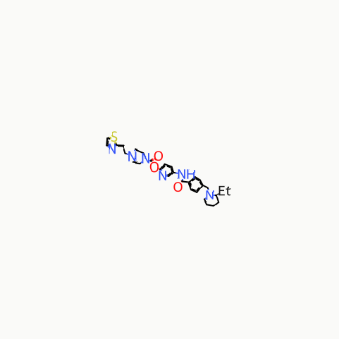 CCC1CCCCN1Cc1ccc(C(=O)Nc2ccc(OC(=O)N3CCN(CCc4nccs4)CC3)nc2)cc1